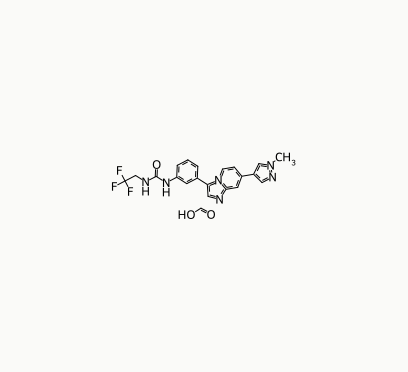 Cn1cc(-c2ccn3c(-c4cccc(NC(=O)NCC(F)(F)F)c4)cnc3c2)cn1.O=CO